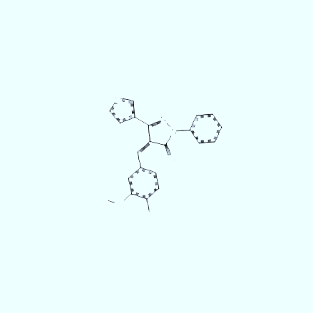 COc1cc(/C=C2\C(=O)N(c3ccccc3)N=C2c2ccoc2)ccc1O